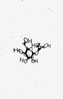 OC[C@H]1OC(OB(O)O)[C@H](O)[C@@H](O)[C@H]1O